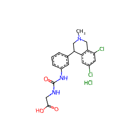 CN1Cc2c(Cl)cc(Cl)cc2C(c2cccc(NC(=O)NCC(=O)O)c2)C1.Cl